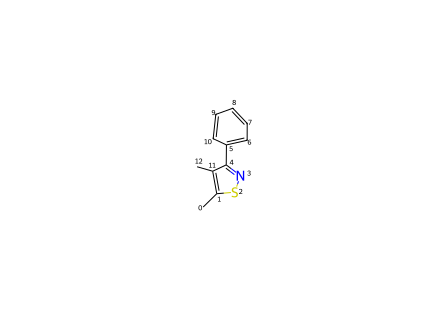 Cc1snc(-c2ccccc2)c1C